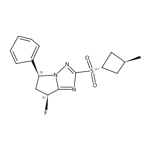 C[C@H]1C[C@H](S(=O)(=O)c2nc3n(n2)[C@H](c2ccccc2)C[C@@H]3F)C1